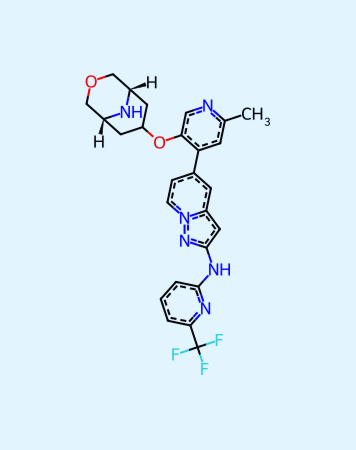 Cc1cc(-c2ccn3nc(Nc4cccc(C(F)(F)F)n4)cc3c2)c(OC2C[C@H]3COC[C@@H](C2)N3)cn1